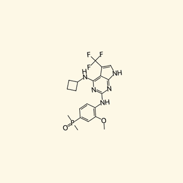 COc1cc(P(C)(C)=O)ccc1Nc1nc(NC2CCC2)c2c(C(F)(F)F)c[nH]c2n1